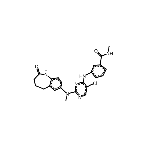 CNC(=O)c1cccc(Nc2nc(N(C)c3ccc4c(c3)CCCC(=O)N4)ncc2Cl)c1